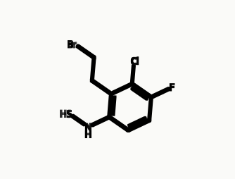 Fc1ccc(NS)c(CCBr)c1Cl